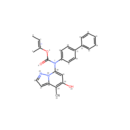 C/C=C(\C)OC(=O)N(c1ccc(-c2ccccc2)cc1)c1cc(O)c(C#N)c2ccnn12